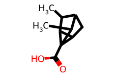 CC1C2CC3C1C3(C(=O)O)C2C